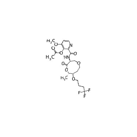 COc1ccnc(C(=O)N[C@H]2COCC[C@@H](OCCCC(F)(F)F)[C@H](C)OC2=O)c1OC(C)=O